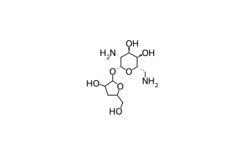 NC[C@@H]1O[C@H](OC2OC(CO)CC2O)[C@H](N)[C@@H](O)[C@H]1O